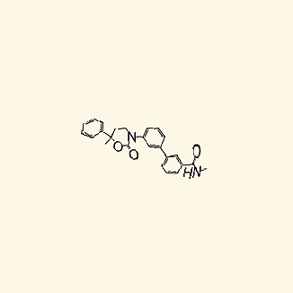 CNC(=O)c1cccc(-c2cccc(N3CCC(C)(c4ccccc4)OC3=O)c2)c1